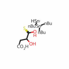 CCC[CH2][SnH].CCC[CH2][Sn][CH2]CCC.O=C(O)CC(O)C(O)=S